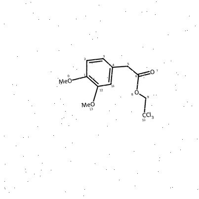 COc1ccc(CC(=O)OCC(Cl)(Cl)Cl)cc1OC